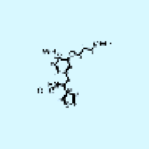 COCCCOc1cc(CC(NC=O)c2ccsc2)ccc1OC